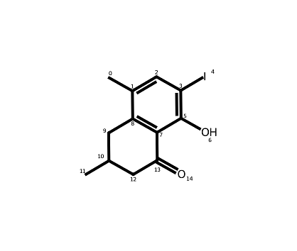 Cc1cc(I)c(O)c2c1CC(C)CC2=O